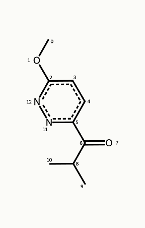 COc1ccc(C(=O)C(C)C)nn1